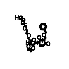 CC1(C)OC2[C@@H](O1)[C@@H](COCCOSOOO)O[C@H]2n1ccc(=O)n(COCc2ccccc2)c1=O